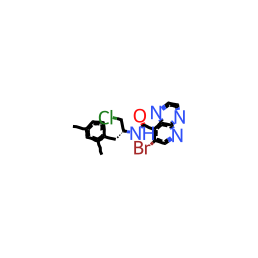 Cc1ccc(C[C@H](CCl)NC(=O)c2c(Br)cnc3nccnc23)c(C)c1